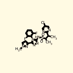 CC(c1ncc(Cl)cn1)C(C)S(=O)(=O)Nc1nnc(-c2ccn(C)n2)n1-c1c(F)cccc1F